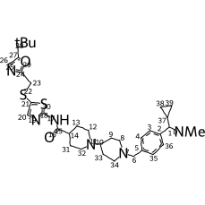 CNC(c1ccc(CN2CCC(N3CCC(C(=O)Nc4ncc(SCc5ncc(C(C)(C)C)o5)s4)CC3)CC2)cc1)C1CC1